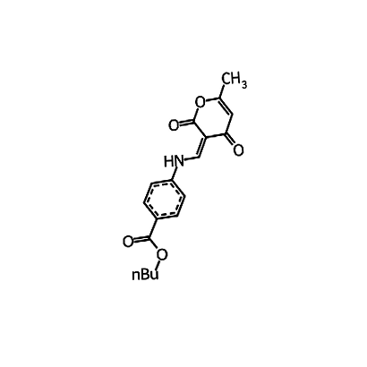 CCCCOC(=O)c1ccc(NC=C2C(=O)C=C(C)OC2=O)cc1